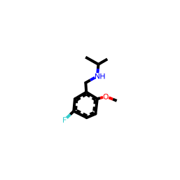 COc1ccc(F)cc1CNC(C)C